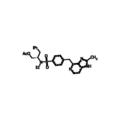 CCN([C@H](COC(C)=O)CC(C)C)S(=O)(=O)c1ccc(Cc2nccc3[nH]c(C)nc23)cc1